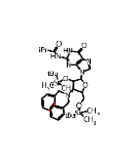 CC(C)C(=O)Nc1nc2c(ncn2C2OC(CO[Si](C)(C)C(C)(C)C)C(N(Cc3ccccc3)Cc3ccccc3)C2O[Si](C)(C)C(C)(C)C)c(=O)[nH]1